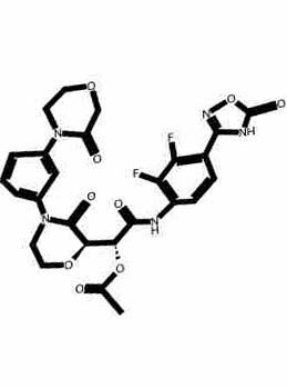 CC(=O)O[C@@H](C(=O)Nc1ccc(-c2noc(=O)[nH]2)c(F)c1F)[C@H]1OCCN(c2cccc(N3CCOCC3=O)c2)C1=O